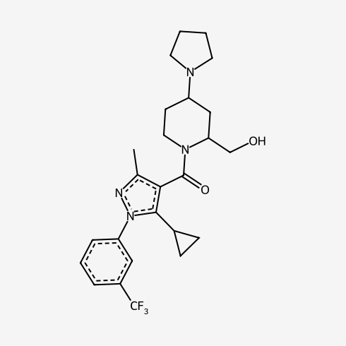 Cc1nn(-c2cccc(C(F)(F)F)c2)c(C2CC2)c1C(=O)N1CCC(N2CCCC2)CC1CO